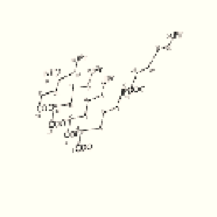 CC(C)CCCCC(=O)[O-].CC(C)CCCCC(=O)[O-].CC(C)CCCCC(=O)[O-].CC(C)CCCCC(=O)[O-].CC(C)CCCCC(=O)[O-].[Nb+5]